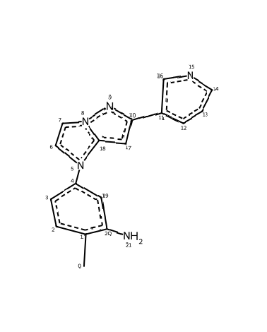 Cc1ccc(-n2ccn3nc(-c4cccnc4)cc23)cc1N